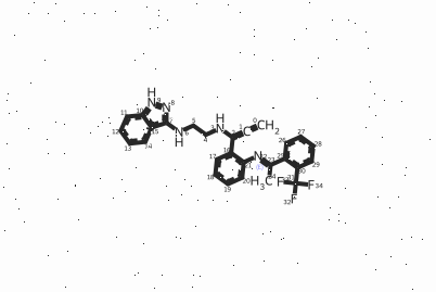 C=C=C(NCCNc1n[nH]c2ccccc12)c1ccccc1/N=C(\C)c1ccccc1C(F)(F)F